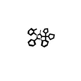 Cc1ccccc1N1C(c2ccccc2)N2c3ccccc3C(C3CCCC3)(C3CCCC3)C2[C@@H]1C